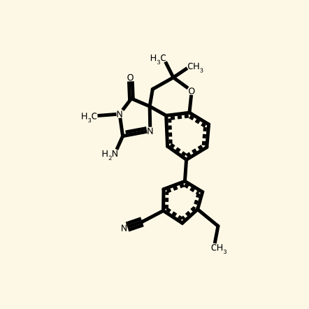 CCc1cc(C#N)cc(-c2ccc3c(c2)C2(CC(C)(C)O3)N=C(N)N(C)C2=O)c1